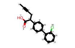 CC#CCC(C(=O)O)c1ccc(-c2ccccc2Cl)cc1